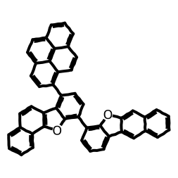 c1ccc2cc3c(cc2c1)oc1c(-c2ccc(-c4ccc5ccc6cccc7ccc4c5c67)c4c2oc2c5ccccc5ccc24)cccc13